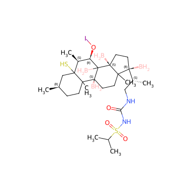 BC12[C@H](OI)[C@H](C)C3(S)C[C@H](C)CCC3(C)[C@@]1(B)CCC1(C)[C@@]2(B)CC[C@]1(B)[C@H](C)CNC(=O)NS(=O)(=O)C(C)C